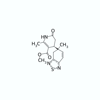 COC(=O)C1=C(C)NC(=O)C[C@H]1C1(C)C=Cc2nsnc2C1